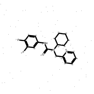 O=C(Nc1ccc(F)c(F)c1)N(Cc1ccccn1)C1CCCCC1